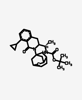 C[C@H](NC(=O)OC(C)(C)C)C1Cc2cccc(C3CC3)c2C(=O)N1C12CC3CCC(C1)C(C3)C2